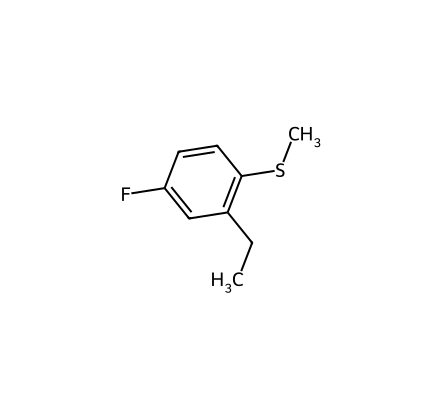 CCc1cc(F)ccc1SC